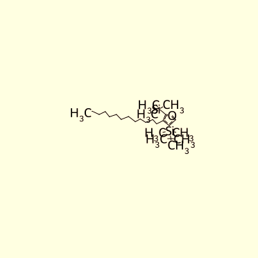 CCCCCCCCCCCCCc1c([Si](C)(C)C(C)(C)C)coc1[Si](C)(C)C